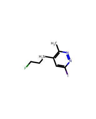 Cc1nnc(I)cc1[SiH2]CCF